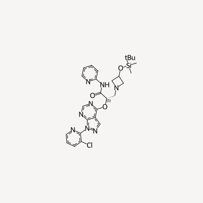 CC(C)(C)[Si](C)(C)OC1CN(C[C@H](Oc2ncnc3c2cnn3-c2ncccc2Cl)C(=O)Nc2ccccn2)C1